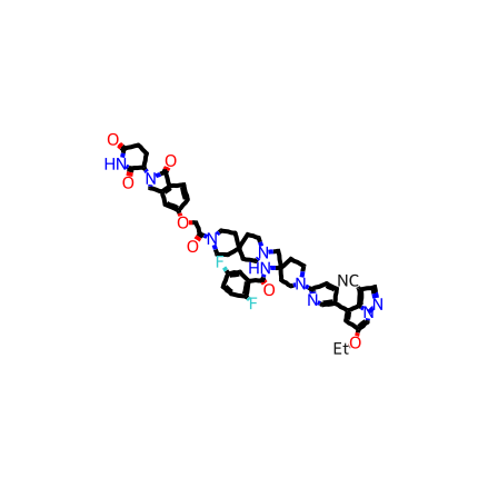 CCOc1cc(-c2ccc(N3CCC(CN4CCC5(CC4)CCN(C(=O)COc4ccc6c(c4)CN(C4CCC(=O)NC4=O)C6=O)CC5)(NC(=O)c4cc(F)ccc4F)CC3)nc2)c2c(C#N)cnn2c1